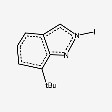 CC(C)(C)c1cccc2cn(I)nc12